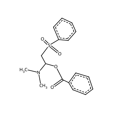 CN(C)C(CS(=O)(=O)c1ccccc1)OC(=O)c1ccccc1